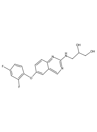 OCC(O)CNc1ncc2cc(Oc3ccc(F)cc3F)ccc2n1